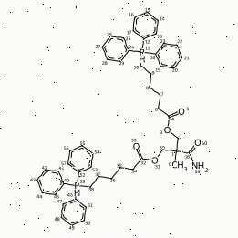 CC(COC(=O)CCCCC[PH](c1ccccc1)(c1ccccc1)c1ccccc1)(COC(=O)CCCCC[PH](c1ccccc1)(c1ccccc1)c1ccccc1)C(N)=O